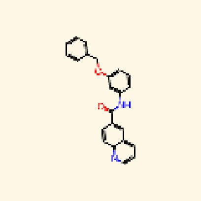 O=C(Nc1cccc(OCc2ccccc2)c1)c1ccc2ncccc2c1